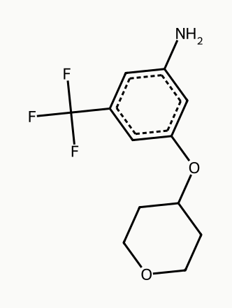 Nc1cc(OC2CCOCC2)cc(C(F)(F)F)c1